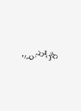 Cc1cc(NC(=O)NC(=O)c2ccccc2Cl)ccc1OCc1ccc(OC(F)(F)F)cc1